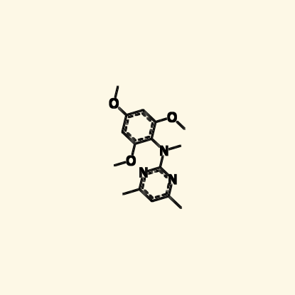 COc1cc(OC)c(N(C)c2nc(C)cc(C)n2)c(OC)c1